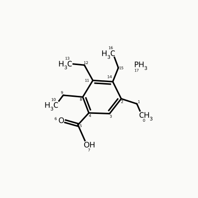 CCc1cc(C(=O)O)c(CC)c(CC)c1CC.P